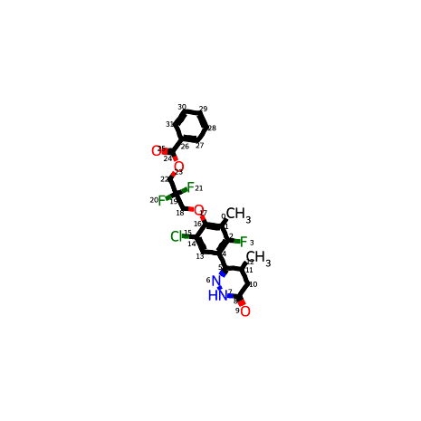 Cc1c(F)c(C2=NNC(=O)CC2C)cc(Cl)c1OCC(F)(F)COC(=O)c1ccccc1